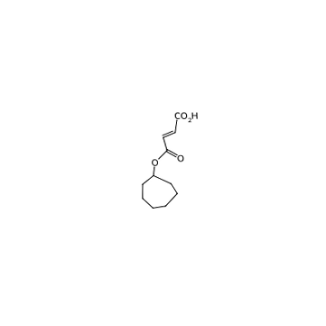 O=C(O)C=CC(=O)OC1CCCCCC1